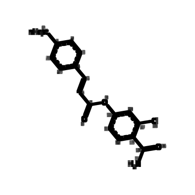 CCCCCCCc1ccc(C=CC(=O)Oc2ccc(C(N)=O)c(Cl)c2)cc1